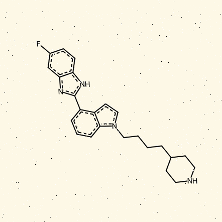 Fc1ccc2[nH]c(-c3cccc4c3ccn4CCCCC3CCNCC3)nc2c1